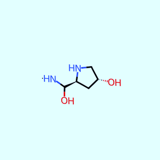 [NH]C(O)[C@@H]1C[C@@H](O)CN1